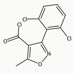 Cc1onc(-c2c(Cl)cccc2Cl)c1C(=O)Cl